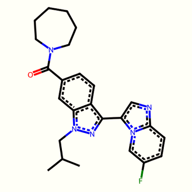 CC(C)Cn1nc(-c2cnc3ccc(F)cn23)c2ccc(C(=O)N3CCCCCC3)cc21